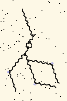 CCCCCCCC/C=C\CCCCCCCCN(CCCCCCCC/C=C\CCCCCCCC)CCN(CCCCCCCC/C=C\CCCCCCCC)CCN1CCN(CCN(C)CCCCCCCCCCCC)CC1